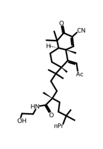 CCCC(C)(C)CC[C@@](C)(CCC(C)(C)[C@]1(C)CC[C@H]2C(C)(C)C(=O)C(C#N)=C[C@]2(C)/C1=C/C(C)=O)C(=O)NCCO